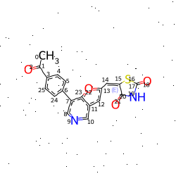 CC(=O)c1ccc(-c2cncc3cc(/C=C4/SC(=O)NC4=O)oc23)cc1